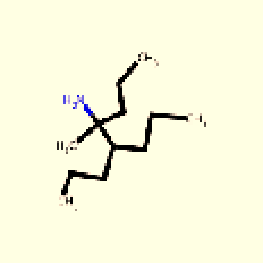 CCCC(CCC)C(C)(N)CCC